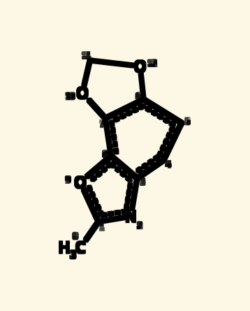 Cc1nc2ccc3c(c2o1)OCO3